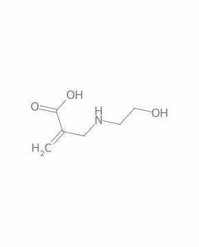 C=C(CNCCO)C(=O)O